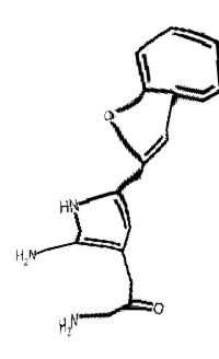 NC(=O)c1cc(-c2cc3ccccc3o2)[nH]c1N